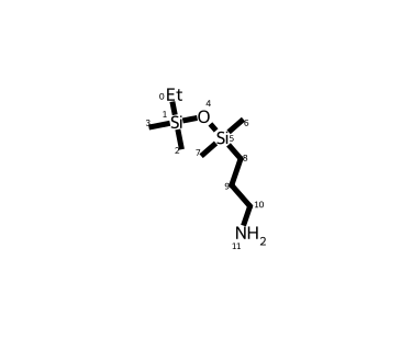 CC[Si](C)(C)O[Si](C)(C)CCCN